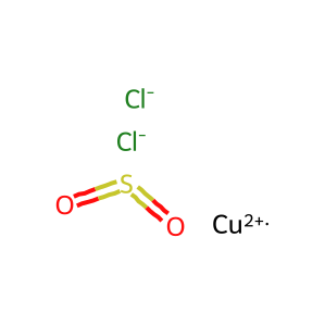 O=S=O.[Cl-].[Cl-].[Cu+2]